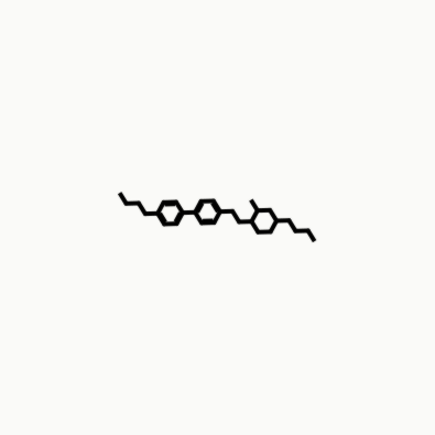 CCCCc1ccc(-c2ccc(CCC3CCC(CCCC)CC3C)cc2)cc1